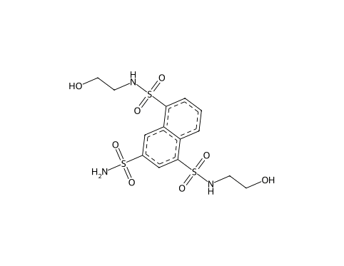 NS(=O)(=O)c1cc(S(=O)(=O)NCCO)c2cccc(S(=O)(=O)NCCO)c2c1